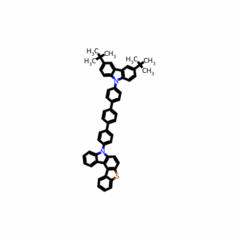 CC(C)(C)c1ccc2c(c1)c1cc(C(C)(C)C)ccc1n2-c1ccc(-c2ccc(-c3ccc(-n4c5ccccc5c5c6c(ccc54)sc4ccccc46)cc3)cc2)cc1